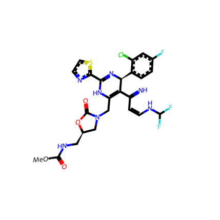 COC(=O)NC[C@@H]1CN(CC2=C(C(=N)/C=C\NC(F)F)[C@H](c3ccc(F)cc3Cl)N=C(c3nccs3)N2)C(=O)O1